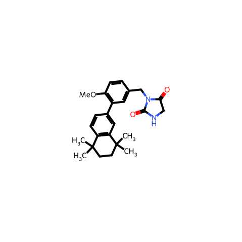 COc1ccc(CN2C(=O)CNC2=O)cc1-c1ccc2c(c1)C(C)(C)CCC2(C)C